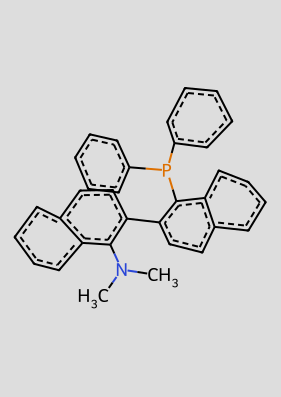 CN(C)c1c(-c2ccc3ccccc3c2P(c2ccccc2)c2ccccc2)ccc2ccccc12